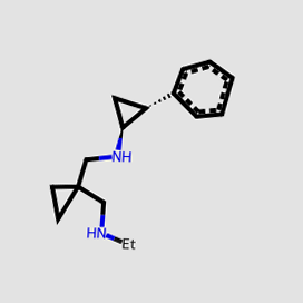 CCNCC1(CN[C@H]2C[C@@H]2c2ccccc2)CC1